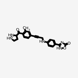 Cc1cc(C#CCNc2ccc(-c3nc(=O)o[nH]3)cc2)ccc1C(=O)C1CCNN1